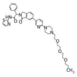 CCCOCCOCCOCCN1CCN(c2ccc(-c3ccc4c(c3)C(=O)N(C(C(=O)Nc3nccs3)c3ccccc3)C4)cn2)CC1